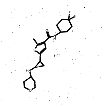 Cc1sc(C2CC2NC2CCOCC2)cc1C(=O)NC1CCC(F)(F)CC1.Cl